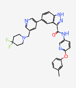 Cc1cccc(Oc2ccc(NC(=O)c3n[nH]c4ccc(-c5cncc(CN6CCC(F)(F)CC6)c5)cc34)cn2)c1